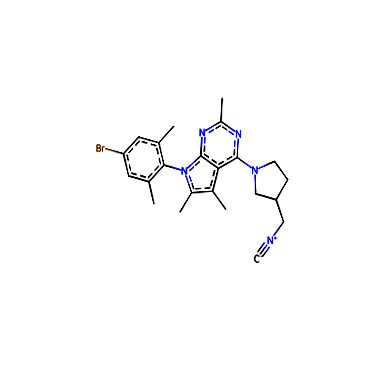 [C-]#[N+]CC1CCN(c2nc(C)nc3c2c(C)c(C)n3-c2c(C)cc(Br)cc2C)C1